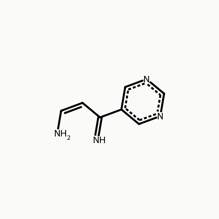 N=C(/C=C\N)c1cncnc1